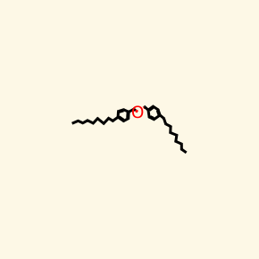 CCCCCCCCCc1ccc(COCc2ccc(CCCCCCCCC)cc2)cc1